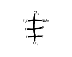 CNC(C(F)(F)F)(C(F)(F)F)C(F)(F)C(F)(F)C(F)(F)F